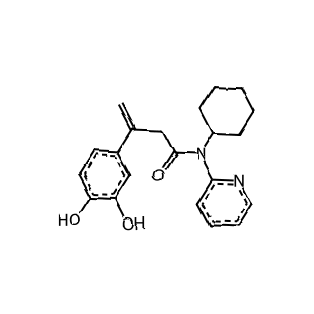 C=C(CC(=O)N(c1ccccn1)C1CCCCC1)c1ccc(O)c(O)c1